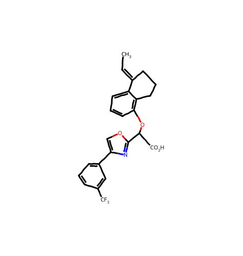 CC=C1CCCc2c(OC(C(=O)O)c3nc(-c4cccc(C(F)(F)F)c4)co3)cccc21